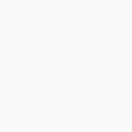 CCCOc1ccccc1S(=O)(=O)NC(=O)c1cc2c(F)cc(Br)cc2o1